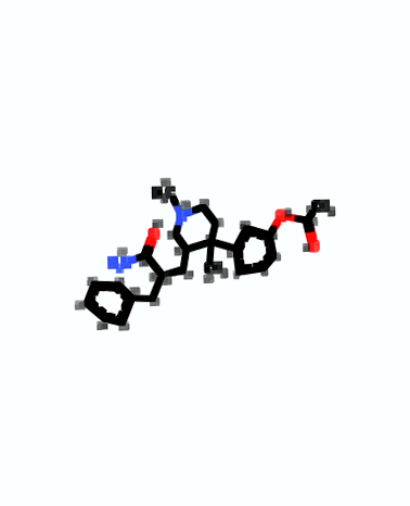 CC(=O)Oc1cccc(C2(C)CCN(C)CC2C[C@@H](Cc2ccccc2)C(N)=O)c1